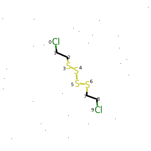 ClCCSSSSCCCl